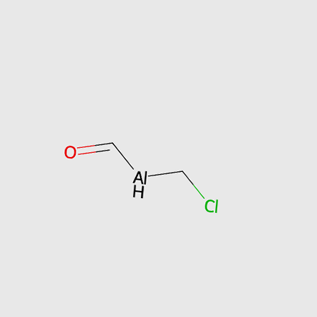 O=[CH][AlH][CH2]Cl